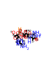 COC[C@H]1O[C@@H](n2cnc3c(N)ncnc32)[C@H](O)[C@@H]1O[PH](=O)OC[C@@]1(C)O[C@@H](Nc2nc(N)[nH]c(=O)c2C)[C@H](OC)[C@@H]1OC